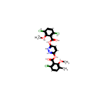 COc1c(C)ccc(Cl)c1C(=O)Oc1ccc(OC(=O)c2c(Cl)ccc(Cl)c2OC)nn1